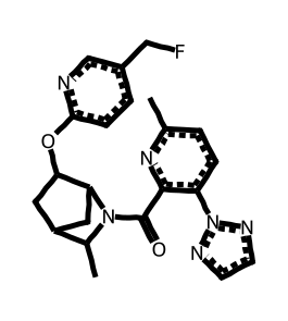 Cc1ccc(-n2nccn2)c(C(=O)N2C(C)C3CC(Oc4ccc(CF)cn4)C2C3)n1